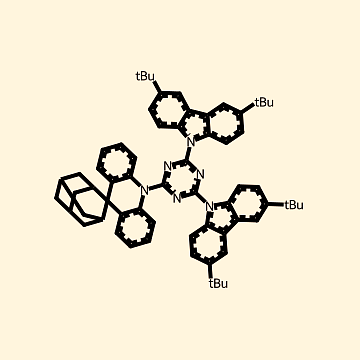 CC(C)(C)c1ccc2c(c1)c1cc(C(C)(C)C)ccc1n2-c1nc(N2c3ccccc3C3(c4ccccc42)C2CC4CC(C2)CC3C4)nc(-n2c3ccc(C(C)(C)C)cc3c3cc(C(C)(C)C)ccc32)n1